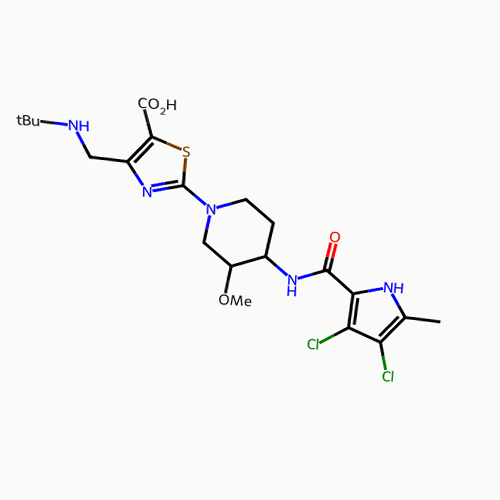 COC1CN(c2nc(CNC(C)(C)C)c(C(=O)O)s2)CCC1NC(=O)c1[nH]c(C)c(Cl)c1Cl